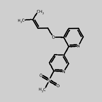 CC(C)=CCOc1cccnc1-c1ccc(S(C)(=O)=O)nc1